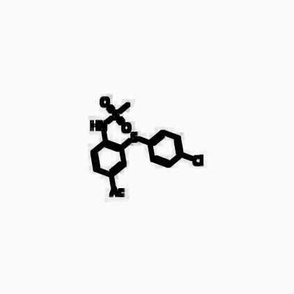 CC(=O)c1ccc(NS(C)(=O)=O)c(Sc2ccc(Cl)cc2)c1